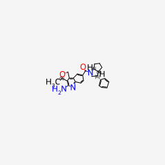 C[C@H]1OCc2c1c(N)nc1ccc(C(=O)N3C[C@@H](c4ccccc4)[C@H]4CCC[C@@H]43)cc21